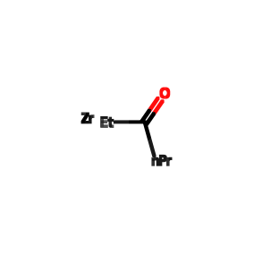 [CH2]CC(=O)CCC.[Zr]